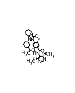 COc1ncnc(OC)c1NC(=O)c1cc(F)c(-n2nc3n(c2=O)CCCC3)cc1OC(C)C1CCCCC1